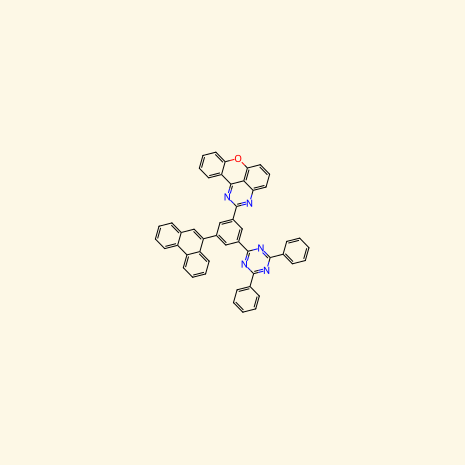 c1ccc(-c2nc(-c3ccccc3)nc(-c3cc(-c4nc5c6c(cccc6n4)Oc4ccccc4-5)cc(-c4cc5ccccc5c5ccccc45)c3)n2)cc1